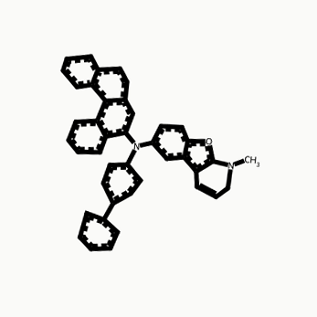 CN1CC=Cc2c1oc1ccc(N(c3ccc(-c4ccccc4)cc3)c3cc4ccc5ccccc5c4c4ccccc34)cc21